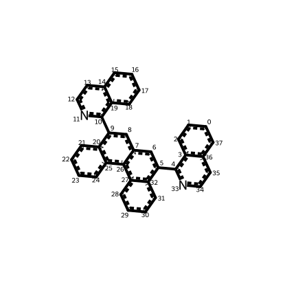 c1ccc2c(-c3cc4cc(-c5nccc6ccccc56)c5ccccc5c4c4ccccc34)nccc2c1